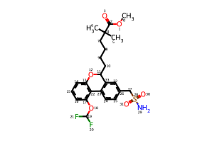 COC(=O)C(C)(C)CCCCC1Oc2cccc(OC(F)F)c2-c2ccc(CS(N)(=O)=O)cc21